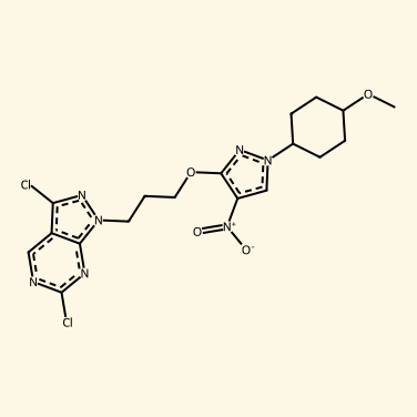 COC1CCC(n2cc([N+](=O)[O-])c(OCCCn3nc(Cl)c4cnc(Cl)nc43)n2)CC1